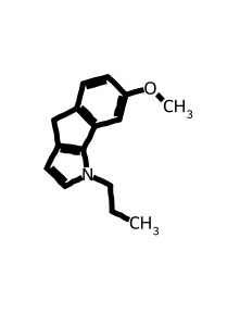 CCCn1ccc2c1-c1cc(OC)ccc1C2